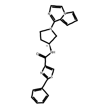 O=C(N[C@H]1CCN(c2nccn3cccc23)C1)c1csc(-c2ccccc2)n1